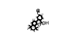 CC1(C)CCC(C)(C)c2cc(C3=C(C(=O)O)C=CC(=C=O)C3)ccc21